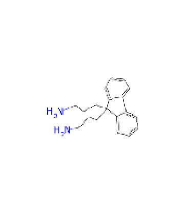 NCCCC1(CCCN)c2ccccc2-c2ccccc21